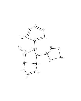 Cc1ccccc1N1C(C2CCCC2)N2C=COC2[C@@H]1C